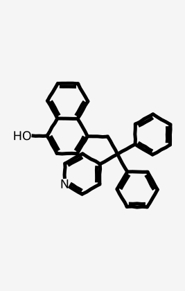 Oc1ccc(CC(c2ccccc2)(c2ccccc2)c2ccncc2)c2ccccc12